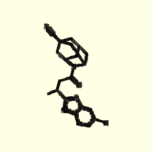 CC(CC(=O)N1C2CC3CC1CC(C#N)(C3)C2)c1nc2ccc(Cl)cc2s1